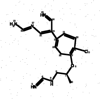 C[C@@H](CNC=N)OC1=C(Cl)C=CC(/C(C=N)=C/N=C/N)=CC1